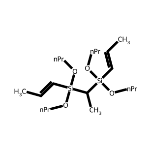 CC=C[Si](OCCC)(OCCC)C(C)[Si](C=CC)(OCCC)OCCC